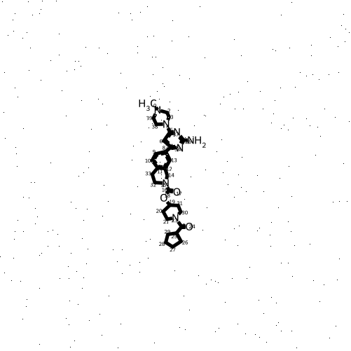 CN1CCN(c2cc(-c3ccc4c(c3)CN(C(=O)OC3CCN(C(=O)C5CCCC5)CC3)CC4)nc(N)n2)CC1